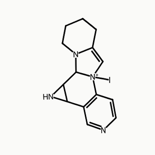 I[N+]12C=C3CCCCN3C1C1NC1c1cnccc12